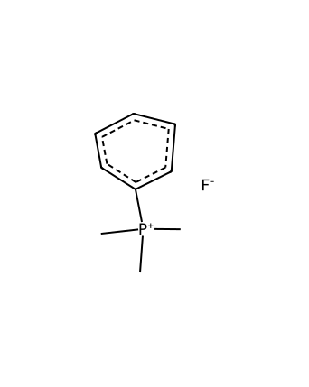 C[P+](C)(C)c1ccccc1.[F-]